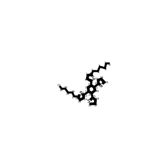 CCCCCCc1ccc(-c2cc(-c3ccc(CCCCCC)s3)c(-c3cccs3)cc2-c2cccs2)s1